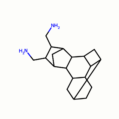 NCC1C(CN)C2CC1C1C3CC4CCC3C3C4CC3C21